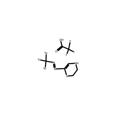 O=C(O)C(F)(F)F.[2H]C([2H])([2H])N=NC1=CNCCS1